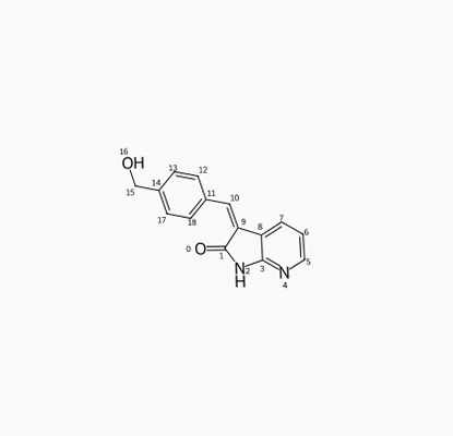 O=C1Nc2ncccc2C1=Cc1ccc(CO)cc1